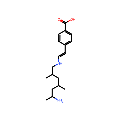 CC(N)CC(C)CC(C)CNC=Cc1ccc(C(=O)O)cc1